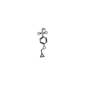 CC(C)S(=O)(=O)c1ccc(OCC2CC2)cc1